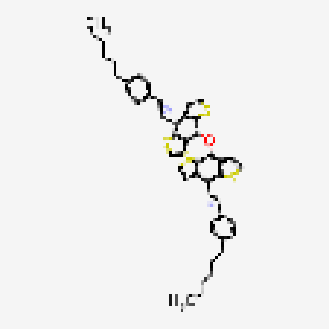 CCCCCCc1ccc(/C=C/c2c3ccsc3c(Oc3c4ccsc4c(/C=C/c4ccc(CCCCCC)cc4)c4ccsc34)c3ccsc23)cc1